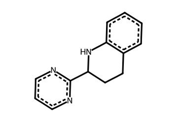 c1cnc(C2CCc3ccccc3N2)nc1